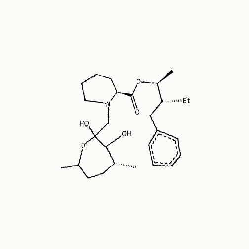 CC[C@H](Cc1ccccc1)[C@H](C)OC(=O)[C@@H]1CCCCN1CC1(O)OC(C)CC[C@@H](C)C1O